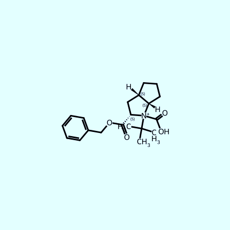 CC(C)(C)[N+]1(C(=O)O)[C@H](C(=O)OCc2ccccc2)C[C@@H]2CCC[C@@H]21